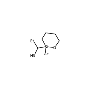 CCC(S)[Si]1(C(C)=O)CCCCO1